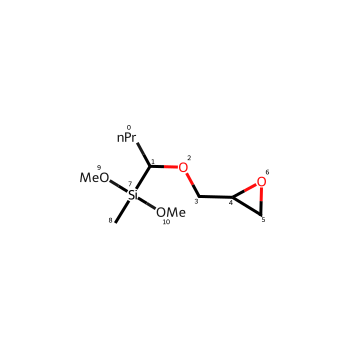 CCCC(OCC1CO1)[Si](C)(OC)OC